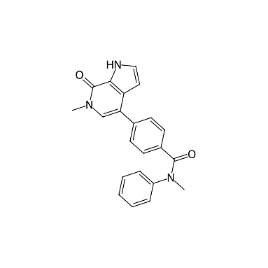 CN(C(=O)c1ccc(-c2cn(C)c(=O)c3[nH]ccc23)cc1)c1ccccc1